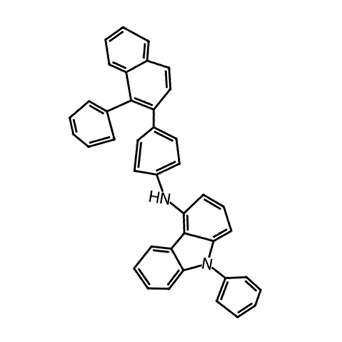 c1ccc(-c2c(-c3ccc(Nc4cccc5c4c4ccccc4n5-c4ccccc4)cc3)ccc3ccccc23)cc1